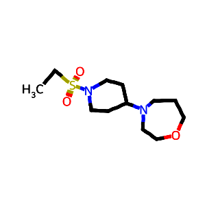 CCS(=O)(=O)N1CCC(N2CCCOCC2)CC1